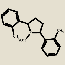 CCCCCCCCP1C(c2ccccc2C)CCC1c1ccccc1C